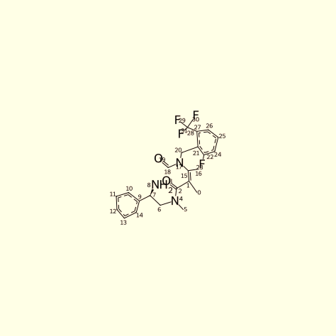 C/C(C(=O)N(C)C[C@H](N)c1ccccc1)=C(\C)N(C=O)Cc1c(F)cccc1C(F)(F)F